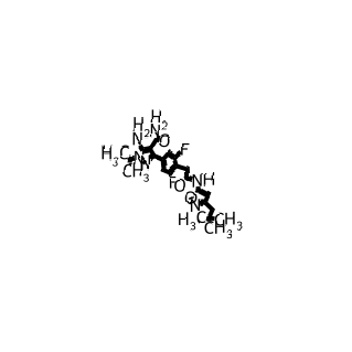 CC(C)n1nc(-c2cc(F)c(CC(=O)Nc3cc(CC(C)(C)C)no3)c(F)c2)c(C(N)=O)c1N